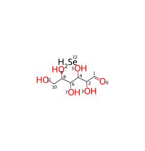 O=CC(O)C(O)C(O)C(O)CO.[SeH2]